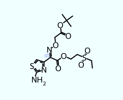 CCS(=O)(=O)CCOC(=O)/C(=N\OCC(=O)OC(C)(C)C)c1csc(N)n1